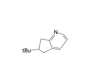 CC(C)(C)C1Cc2cccnc2C1